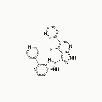 Fc1c(-c2cccnc2)cnc2[nH]nc(-c3nc4c(-c5ccncc5)nccc4[nH]3)c12